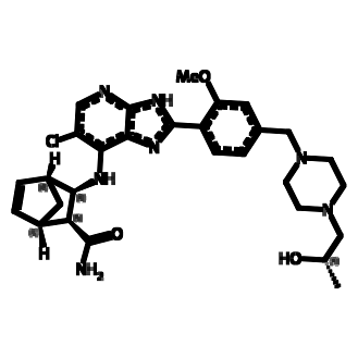 COc1cc(CN2CCN(C[C@H](C)O)CC2)ccc1-c1nc2c(N[C@H]3[C@@H](C(N)=O)[C@@H]4C=C[C@H]3C4)c(Cl)cnc2[nH]1